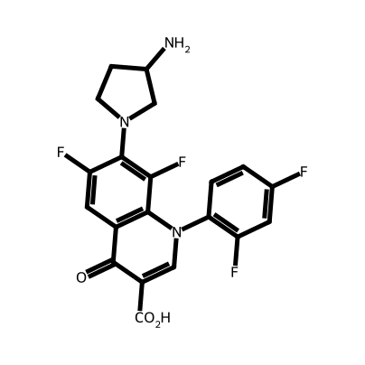 NC1CCN(c2c(F)cc3c(=O)c(C(=O)O)cn(-c4ccc(F)cc4F)c3c2F)C1